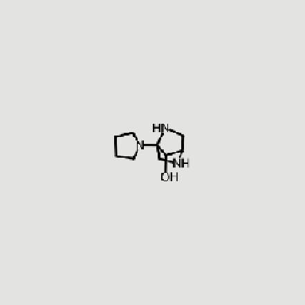 OC1C2CNC1(N1CCCC1)CN2